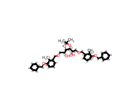 Cc1c(COC[C@@H](O)[C@H]2OC(C)(C)O[C@@H]2[C@H](O)COCc2cccc(OCc3ccccc3)c2C)cccc1OCc1ccccc1